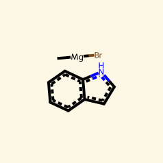 [CH3][Mg][Br].c1ccc2[nH]ccc2c1